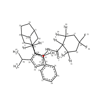 [2H]C([2H])(CC(NC(=O)C1([2H])C([2H])([2H])CC(F)(F)CC1([2H])[2H])c1ccccc1)N1C2CCC1CC(n1c(C)nnc1C(C)C)C2